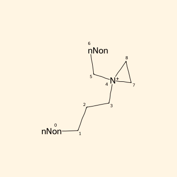 CCCCCCCCCCCC[N+]1(CCCCCCCCCC)CC1